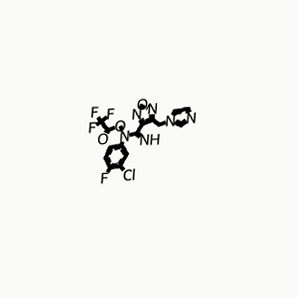 N=C(c1nonc1Cn1ccnc1)N(OC(=O)C(F)(F)F)c1ccc(F)c(Cl)c1